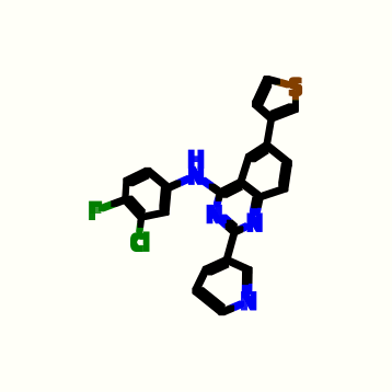 Fc1ccc(Nc2nc(-c3cccnc3)nc3ccc(-c4ccsc4)cc23)cc1Cl